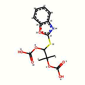 CC(C)(OC(=O)O)C(OC(=O)O)Sc1nc2ccccc2o1